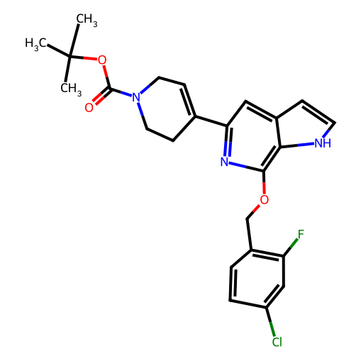 CC(C)(C)OC(=O)N1CC=C(c2cc3cc[nH]c3c(OCc3ccc(Cl)cc3F)n2)CC1